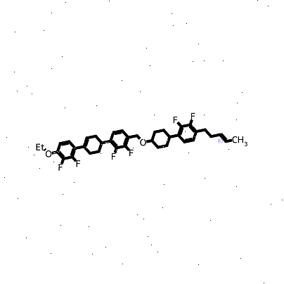 C/C=C/CCc1ccc(C2CCC(OCc3ccc(C4CC=C(c5ccc(OCC)c(F)c5F)CC4)c(F)c3F)CC2)c(F)c1F